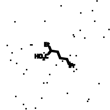 CCC(CCCC(C)C)C(=O)O